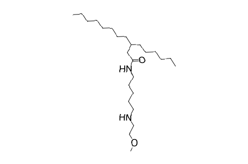 CCCCCCCCC(CCCCCC)CC(=O)NCCCCCNCCOC